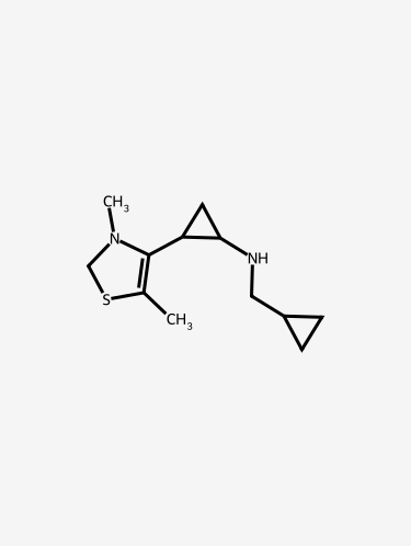 CC1=C(C2CC2NCC2CC2)N(C)CS1